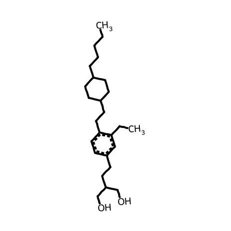 CCCCCC1CCC(CCc2ccc(CCC(CO)CO)cc2CC)CC1